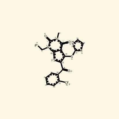 CC(C)Cn1c(=O)n(C)c(=O)c2c(Sc3ncc[nH]3)c(C(=O)c3ccccc3C(F)(F)F)sc21